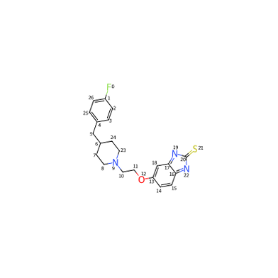 Fc1ccc(CC2CCN(CCOc3ccc4c(c3)=NC(=S)N=4)CC2)cc1